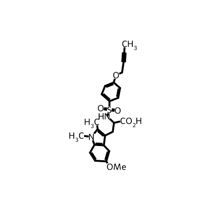 CC#CCOc1ccc(S(=O)(=O)NC(Cc2c(C)n(C)c3ccc(OC)cc23)C(=O)O)cc1